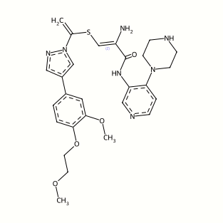 C=C(S/C=C(\N)C(=O)Nc1cnccc1N1CCNCC1)n1cc(-c2ccc(OCCOC)c(OC)c2)cn1